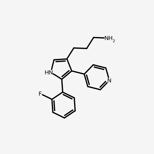 NCCCc1c[nH]c(-c2ccccc2F)c1-c1ccncc1